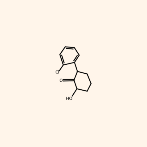 O=C1[C](c2ccccc2Cl)CCCC1O